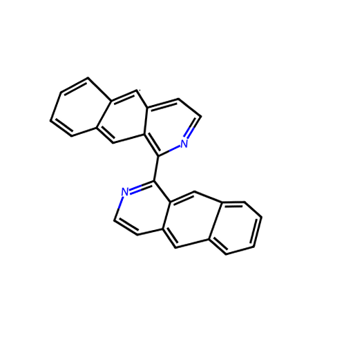 [c]1c2ccccc2cc2c(-c3nccc4cc5ccccc5cc34)nccc12